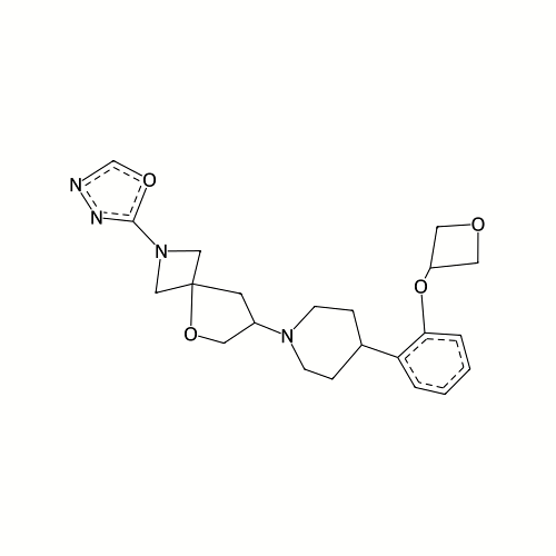 c1ccc(C2CCN(C3COC4(C3)CN(c3nnco3)C4)CC2)c(OC2COC2)c1